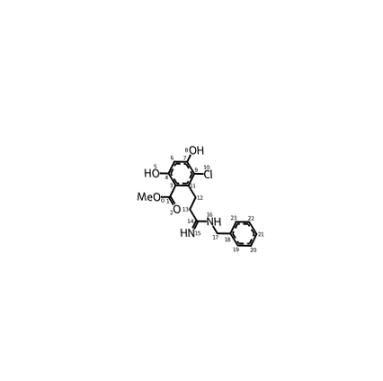 COC(=O)c1c(O)cc(O)c(Cl)c1CCC(=N)NCc1ccccc1